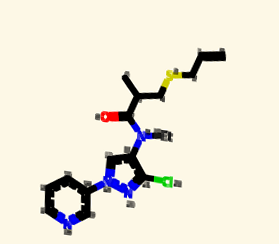 C=CCSCC(C)C(=O)N(CC)c1cn(-c2cccnc2)nc1Cl